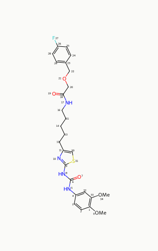 COc1ccc(NC(=O)Nc2nc(CCCCCNC(=O)COCc3ccc(F)cc3)cs2)cc1OC